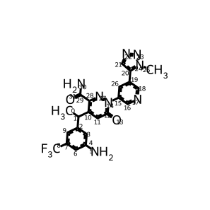 CC(c1cc(N)cc(C(F)(F)F)c1)c1cc(=O)n(-c2cncc(-c3cnnn3C)c2)nc1C(N)=O